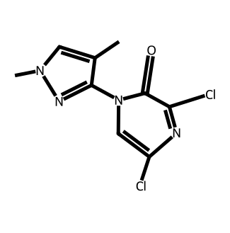 Cc1cn(C)nc1-n1cc(Cl)nc(Cl)c1=O